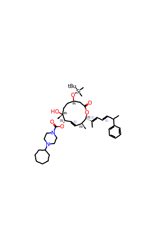 C/C(=C\C=C\C(C)c1ccccc1)[C@H]1OC(=O)C[C@H](O[Si](C)(C)C(C)(C)C)CC[C@@](C)(O)[C@@H](OC(=O)N2CCN(C3CCCCCC3)CC2)/C=C/[C@@H]1C